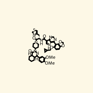 COc1ccc(C2=NN(C3CCN(C(=O)[C@H](Cc4cscn4)NC(=O)c4c[nH]c5c(-c6c(OCC7CC7)ccc7c6OCO7)ncnc45)CC3)C(=O)[C@@H]3CCCC[C@H]23)cc1OC